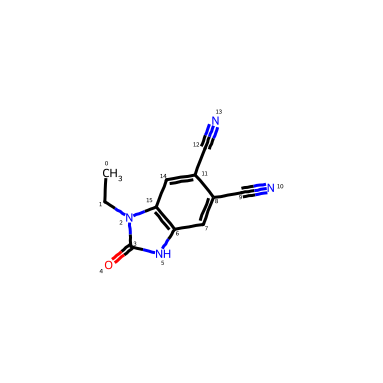 CCn1c(=O)[nH]c2cc(C#N)c(C#N)cc21